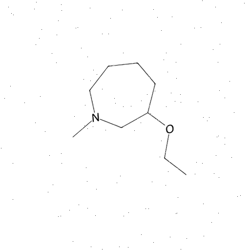 CCOC1CCCCN(C)C1